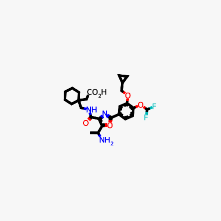 CC(N)c1oc(-c2ccc(OC(F)F)c(OCC3CC3)c2)nc1C(=O)NCC1(CC(=O)O)CCCCC1